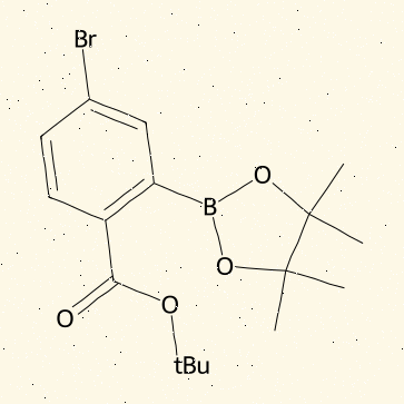 CC(C)(C)OC(=O)c1ccc(Br)cc1B1OC(C)(C)C(C)(C)O1